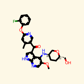 COc1cnc2[nH]cc(C(=O)c3cnc(Oc4ccccc4F)cc3C)c2c1N[C@@H]1CC[C@@H](CO)OC1